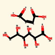 O=C(O)/C=C\C(=O)O.O=C(O)C(O)C(O)C(O)C(O)CO